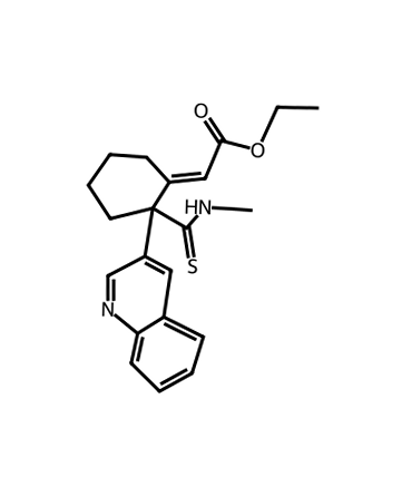 CCOC(=O)C=C1CCCCC1(C(=S)NC)c1cnc2ccccc2c1